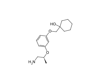 C[C@@H](CN)Oc1cccc(OCC2(O)CCCCC2)c1